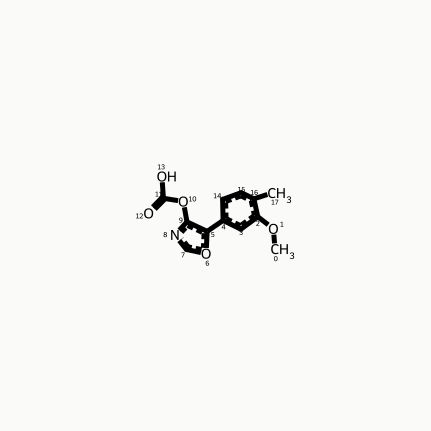 COc1cc(-c2ocnc2OC(=O)O)ccc1C